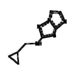 c1cn2nc(NCC3CC3)sc2n1